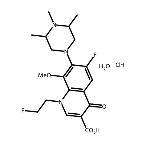 COc1c(N2CC(C)N(C)C(C)C2)c(F)cc2c(=O)c(C(=O)O)cn(CCF)c12.Cl.O